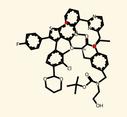 CCOC(=O)[C@@H](Cc1cc(CN(CCO)C(=O)OC(C)(C)C)ccc1OCc1ccnc(-c2ccccc2OC)n1)Oc1ncnc2sc(-c3ccc(F)cc3)c(-c3ccc(C4OCCCO4)c(Cl)c3C)c12